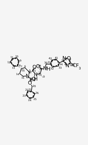 C[C@H](NC(=O)[C@H]1C[C@@H](c2ccccc2)CCN1C(=O)OCc1ccccc1)C(=O)NCc1ccc(-c2noc(C(F)(F)F)n2)cc1